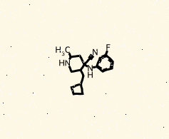 CC1CC(C#N)(Nc2cccc(F)c2)C(CC2CCC2)CN1